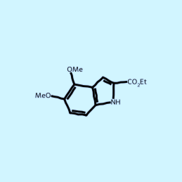 CCOC(=O)c1cc2c(OC)c(OC)ccc2[nH]1